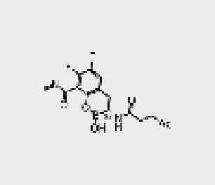 C=NC(=O)c1c(F)c(F)cc2c1OB(O)[C@@H](NC(=O)CCC(C)=O)C2